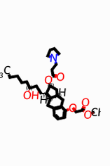 CCCCC[C@@H](O)CC[C@@H]1[C@H]2Cc3cccc(OCC(=O)OC)c3C[C@H]2C[C@H]1OC(=O)CCN1CCCC1